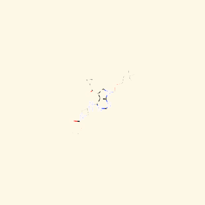 CC(C)(C)OC(=O)N1CC(Nc2ncnc3c2c(C(=O)C2CC2)cn3COCC[Si](C)(C)C)C1